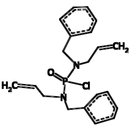 C=CCN(Cc1ccccc1)P(=O)(Cl)N(CC=C)Cc1ccccc1